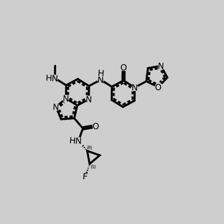 CNc1cc(Nc2cccn(-c3cnco3)c2=O)nc2c(C(=O)N[C@@H]3C[C@@H]3F)cnn12